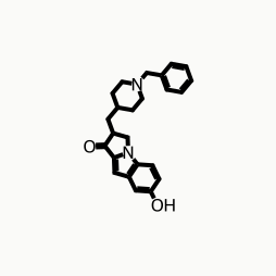 O=C1c2cc3cc(O)ccc3n2CC1CC1CCN(Cc2ccccc2)CC1